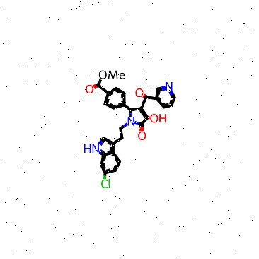 COC(=O)c1ccc(C2C(C(=O)c3cccnc3)=C(O)C(=O)N2CCc2c[nH]c3cc(Cl)ccc23)cc1